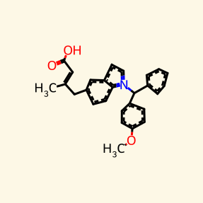 COc1ccc(C(c2ccccc2)n2ccc3cc(CC(C)=CC(=O)O)ccc32)cc1